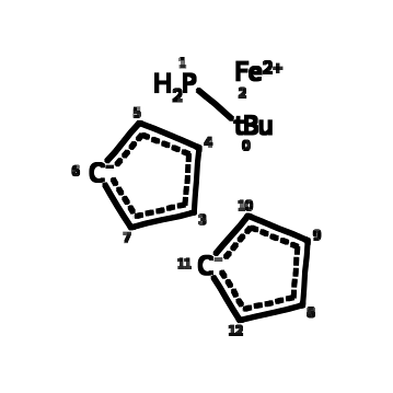 CC(C)(C)P.[Fe+2].c1cc[cH-]c1.c1cc[cH-]c1